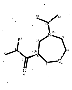 CC(C)C(=O)[C@@H]1COCCN(C(C)C)C1